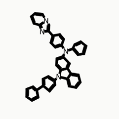 c1ccc(-c2ccc(-n3c4ccccc4c4cc(N(c5ccccc5)c5ccc(-c6cn7ccccc7n6)cc5)ccc43)cc2)cc1